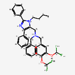 CCCCn1c(-c2ccccc2)nc(-c2ccccc2)c1CN(Cc1ccccc1)Cc1ccc(OC(F)F)c(OC(F)F)c1